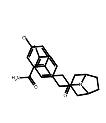 NC(=O)c1cc(Cl)ccc1OCC(=O)N1C2CCC1CC(Cc1ccc(F)cc1)C2